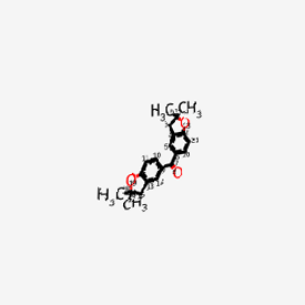 CC1(C)Cc2cc(C(=O)c3ccc4c(c3)CC(C)(C)O4)ccc2O1